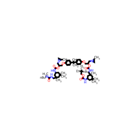 CCCCN(C)C(=O)NCC1(C)CC(NC(=O)OC(COc2ccc(C(C)(C)c3ccc(OCC(CN4CC4C)OC(=O)NCC4(C)CC(NC(=O)OCC(C)(CC)CCCC)CC(C)(C)C4)cc3)cc2)CN2CC2C)CC(C)(C)C1